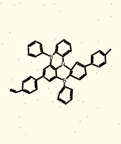 C=Cc1ccc(-c2cc3c4c(c2)B(c2ccccc2)c2ccc(-c5ccc(C)cc5)cc2N4c2ccccc2B3c2ccccc2)cc1